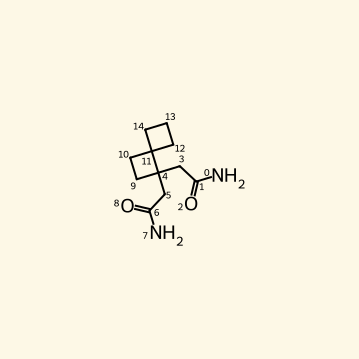 NC(=O)CC1(CC(N)=O)CCC12CCC2